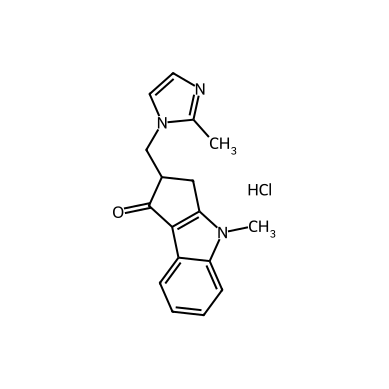 Cc1nccn1CC1Cc2c(c3ccccc3n2C)C1=O.Cl